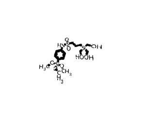 CO[Si](OC)(OC)c1ccc(NS(=O)(=O)CCC[Si](CO)(CO)CO)cc1